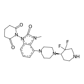 Cn1c(=O)n(N2C(=O)CCCC2=O)c2cccc(N3CCN([C@@H]4CCNCC4(F)F)CC3)c21